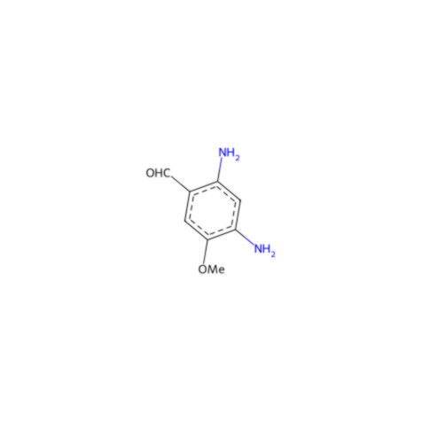 COc1cc(C=O)c(N)cc1N